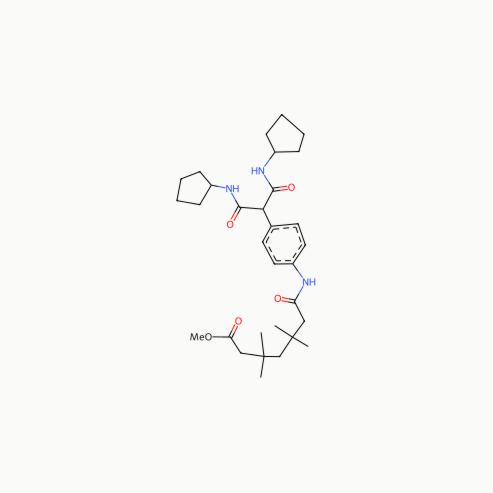 COC(=O)CC(C)(C)CC(C)(C)CC(=O)Nc1ccc(C(C(=O)NC2CCCC2)C(=O)NC2CCCC2)cc1